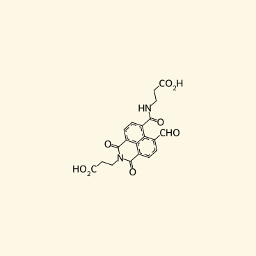 O=Cc1ccc2c3c(ccc(C(=O)NCCC(=O)O)c13)C(=O)N(CCC(=O)O)C2=O